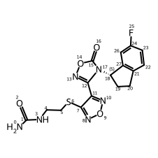 NC(=O)NCCSc1nonc1-c1noc(=O)n1[C@H]1CCc2ccc(F)cc21